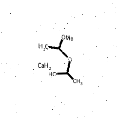 COC(C)OC(C)O.[CaH2]